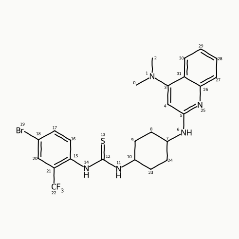 CN(C)c1cc(NC2CCC(NC(=S)Nc3ccc(Br)cc3C(F)(F)F)CC2)nc2ccccc12